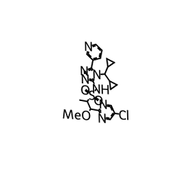 COC(c1ncc(Cl)cn1)C(C)S(=O)(=O)Nc1nnc(-c2cccnc2)n1C(C1CC1)C1CC1